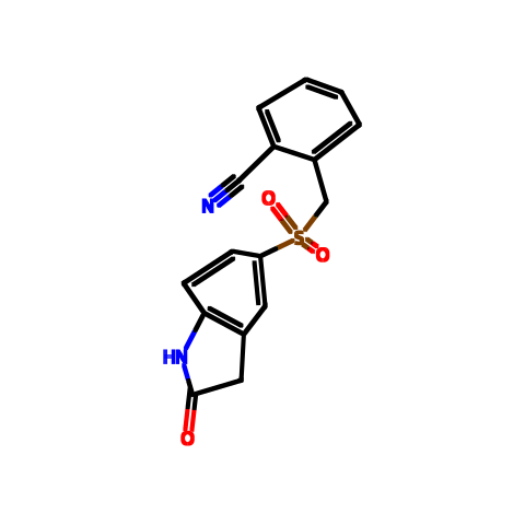 N#Cc1ccccc1CS(=O)(=O)c1ccc2c(c1)CC(=O)N2